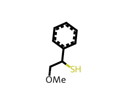 COCC(S)c1ccccc1